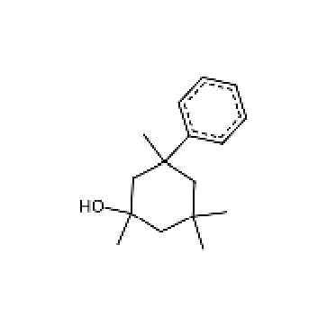 CC1(C)CC(C)(O)CC(C)(c2ccccc2)C1